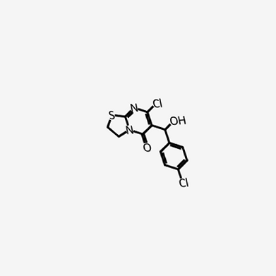 O=c1c(C(O)c2ccc(Cl)cc2)c(Cl)nc2n1CCS2